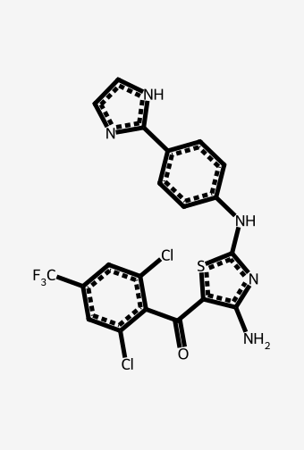 Nc1nc(Nc2ccc(-c3ncc[nH]3)cc2)sc1C(=O)c1c(Cl)cc(C(F)(F)F)cc1Cl